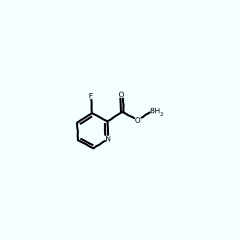 BOC(=O)c1ncccc1F